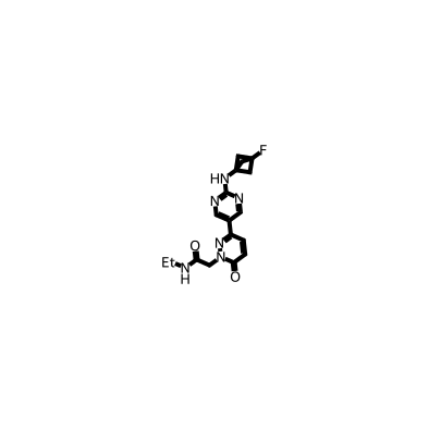 CCNC(=O)Cn1nc(-c2cnc(NC34CC(F)(C3)C4)nc2)ccc1=O